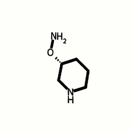 NO[C@@H]1CCCNC1